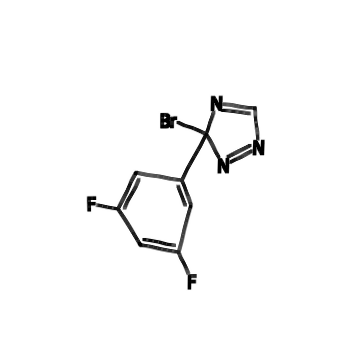 Fc1cc(F)cc(C2(Br)N=CN=N2)c1